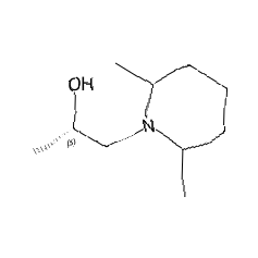 CC1CCCC(C)N1C[C@H](C)O